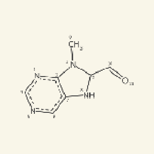 CN1c2ncncc2NC1C=O